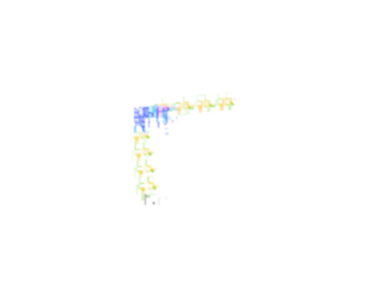 F[P-](F)(F)(F)(F)F.F[P-](F)(F)(F)(F)F.F[P-](F)(F)(F)(F)F.F[P-](F)(F)(F)(F)F.F[P-](F)(F)(F)(F)F.F[P-](F)(F)(F)(F)F.F[P-](F)(F)(F)(F)F.F[P-](F)(F)(F)(F)F.[NH4+].[NH4+].[NH4+].[NH4+].[NH4+].[NH4+].[Ni+2]